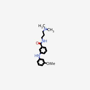 COc1cccc(Nc2cccc(C(=O)NCCCN(C)C)c2)c1